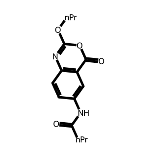 CCCOc1nc2ccc(NC(=O)CCC)cc2c(=O)o1